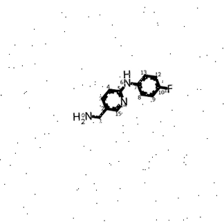 NCc1ccc(Nc2ccc(F)cc2)nc1